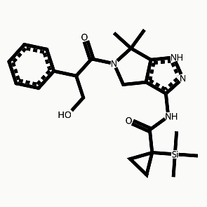 CC1(C)c2[nH]nc(NC(=O)C3([Si](C)(C)C)CC3)c2CN1C(=O)C(CO)c1ccccc1